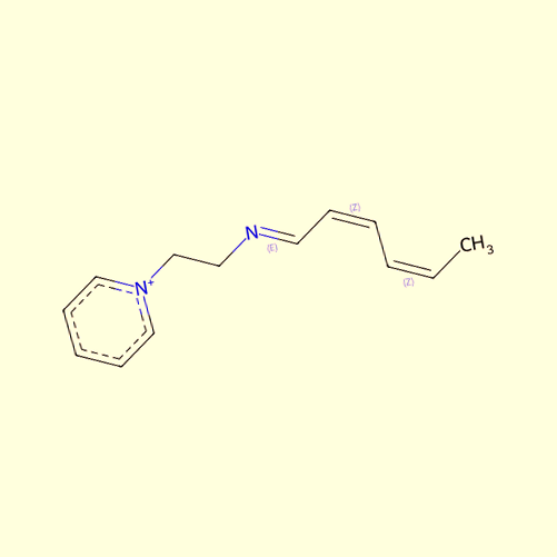 C\C=C/C=C\C=N\CC[n+]1ccccc1